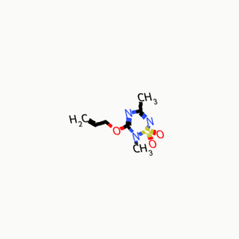 C=CCOC1=NC(C)=NS(=O)(=O)N1C